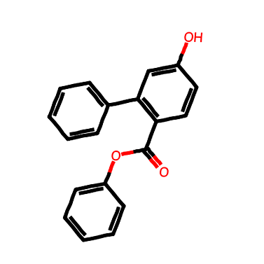 O=C(Oc1ccccc1)c1ccc(O)cc1-c1ccccc1